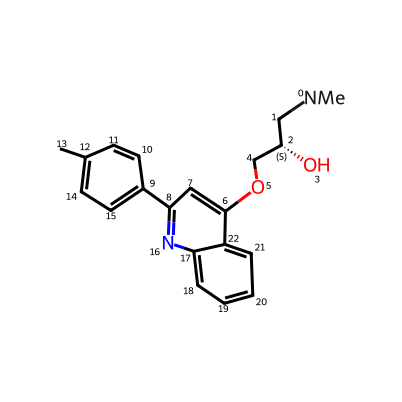 CNC[C@H](O)COc1cc(-c2ccc(C)cc2)nc2ccccc12